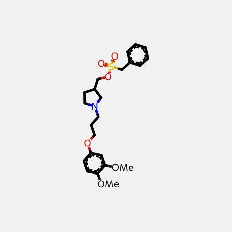 COc1ccc(OCCCN2CCC(COS(=O)(=O)Cc3ccccc3)C2)cc1OC